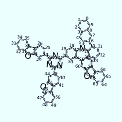 c1ccc2cc3c(cc2c1)c1ccccc1n3-c1ccc(-c2nc(-c3ccc4c(c3)oc3ccccc34)nc(-c3ccc4c(c3)oc3ccccc34)n2)cc1-c1ccc2c(c1)oc1ccccc12